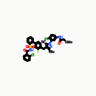 CCCCc1nn(-c2cc(NC(=O)COC)ccc2Cl)c(C#N)c1Cc1ccc(-c2ccccc2S(=O)(=O)NC(=O)c2ccccc2Cl)cc1F